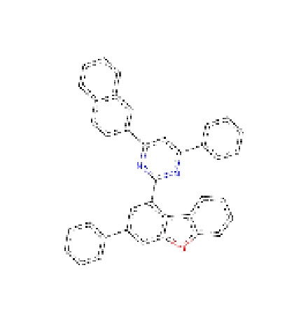 c1ccc(-c2cc(-c3nc(-c4ccccc4)cc(-c4ccc5ccccc5c4)n3)c3c(c2)oc2ccccc23)cc1